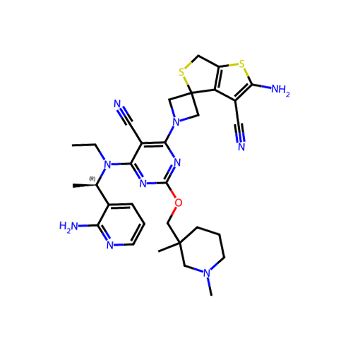 CCN(c1nc(OCC2(C)CCCN(C)C2)nc(N2CC3(C2)SCc2sc(N)c(C#N)c23)c1C#N)[C@H](C)c1cccnc1N